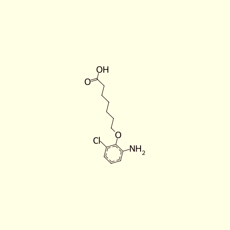 Nc1cccc(Cl)c1OCCCCCCC(=O)O